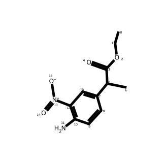 CCOC(=O)C(C)c1ccc(N)c([N+](=O)[O-])c1